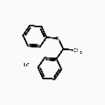 CC([N-]c1ccccc1)c1ccccc1.[Li+]